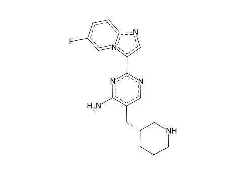 Nc1nc(-c2cnc3ccc(F)cn23)ncc1C[C@H]1CCCNC1